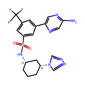 Nc1cnc(-c2cc(C(F)(F)F)cc(S(=O)(=O)N[C@H]3CCC[C@@H](n4cnnc4)C3)c2)cn1